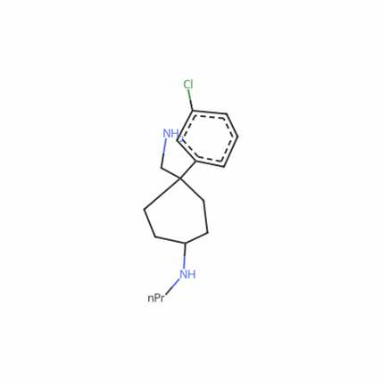 [CH2]CCNC1CCC(CN)(c2cccc(Cl)c2)CC1